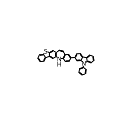 C1=Cc2cc3sc4ccccc4c3cc2Nc2ccc(-c3ccc4c5ccccc5n(-c5ccccc5)c4c3)cc21